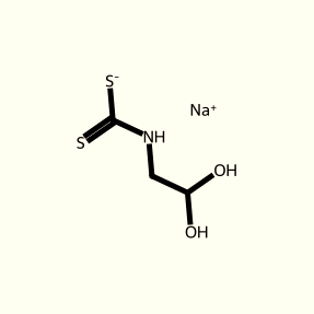 OC(O)CNC(=S)[S-].[Na+]